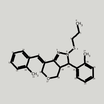 CCCSN1N=C2C(=Cc3ccccc3C)COCC2C1c1ccccc1C